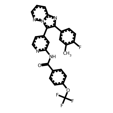 Cc1cc(-c2nc3cccnn3c2-c2ccnc(NC(=O)c3ccc(OC(F)(F)F)cc3)c2)ccc1F